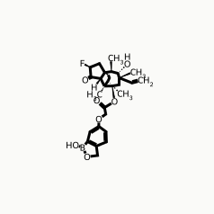 C=C[C@]1(C)C[C@@H](OC(=O)COc2ccc3c(c2)B(O)OC3)[C@]2(C)[C@H](C)CC[C@]3(C[C@H](F)C(=O)[C@H]32)[C@@H](C)[C@@H]1O